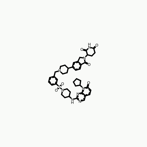 O=C1CCC(N2Cc3cc(C4CCN(Cc5cccc(S(=O)(=O)N6CCC(Nc7ncc8ccc(=O)n(C9CCCC9)c8n7)CC6)c5)CC4)ccc3C2=O)C(=O)N1